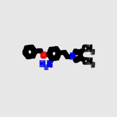 Cc1cn(CCc2ccc(OCc3ccccc3)c(N)c2)cc1C